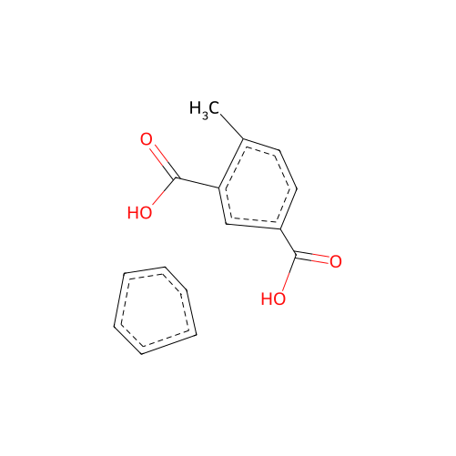 Cc1ccc(C(=O)O)cc1C(=O)O.c1ccccc1